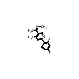 B/C(=N/C)c1cnc(-c2ccc(F)cc2F)cc1C